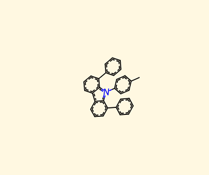 Cc1ccc(-n2c3c(-c4ccccc4)cccc3c3cccc(-c4ccccc4)c32)cc1